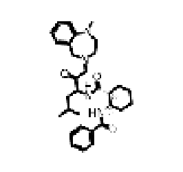 CC(C)CC(NC(=O)[C@@H]1CCCC[C@@H]1NC(=O)c1ccccc1)C(=O)CN1CCN(C)c2ccccc2C1